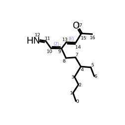 CCCCC(CC)CCC(=C/C=N)/C=C/C(C)=O